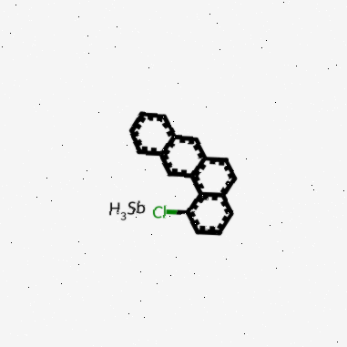 Clc1cccc2ccc3cc4ccccc4cc3c12.[SbH3]